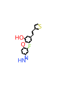 N=Nc1ccc(Oc2ccc(/C=C/c3ccsc3)cc2O)c(F)c1